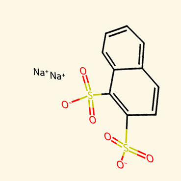 O=S(=O)([O-])c1ccc2ccccc2c1S(=O)(=O)[O-].[Na+].[Na+]